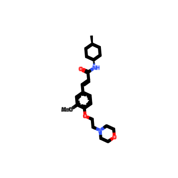 COc1cc(C=CC(=O)N[C@H]2CC[C@H](C)CC2)ccc1OCCN1CCOCC1